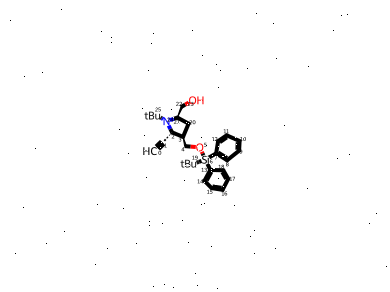 C#C[C@H]1[C@H](CO[Si](c2ccccc2)(c2ccccc2)C(C)(C)C)C[C@H](CO)N1C(C)(C)C